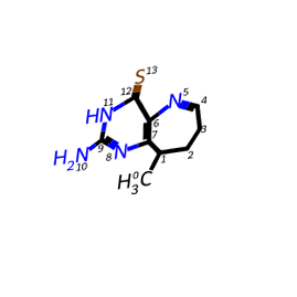 CC1CCC=Nc2c1nc(N)[nH]c2=S